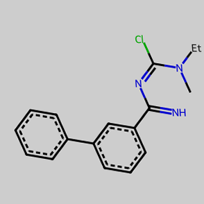 CCN(C)/C(Cl)=N\C(=N)c1cccc(-c2ccccc2)c1